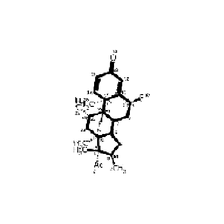 CC(=O)[C@@]1(C)[C@H](C)CC2C3C[C@H](F)C4=CC(=O)C=C[C@]4(C)[C@@]3(F)[C@@H](C)C[C@@]21C